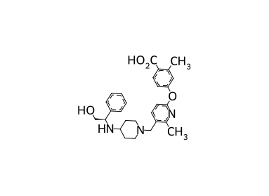 Cc1cc(Oc2ccc(CN3CCC(N[C@@H](CO)c4ccccc4)CC3)c(C)n2)ccc1C(=O)O